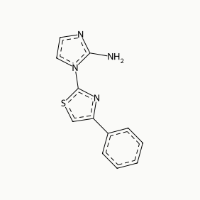 Nc1nccn1-c1nc(-c2ccccc2)cs1